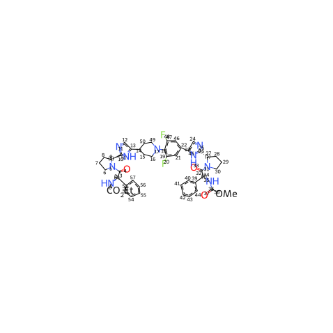 CCOC(=O)N[C@@H](C(=O)N1CCC[C@H]1c1ncc(C2CCN(c3c(F)cc(-c4cnc([C@@H]5CCCN5C(=O)[C@H](NC(=O)OC)c5ccccc5)[nH]4)cc3F)CC2)[nH]1)c1ccccc1